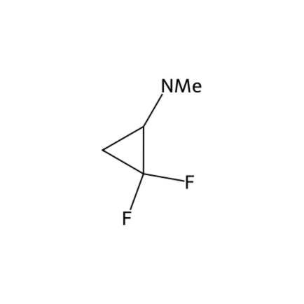 CNC1CC1(F)F